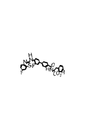 O=C(N[C@@H](Cc1ccccc1)C(=O)O)c1ccc(-c2ccc(Nc3nc4ccc(F)cc4s3)c(F)c2)cc1